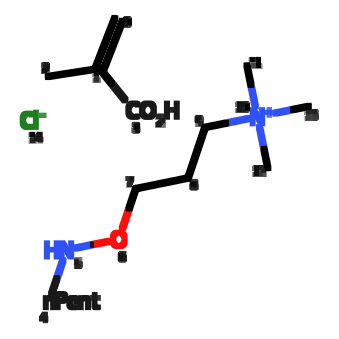 C=C(C)C(=O)O.CCCCCNOCCC[N+](C)(C)C.[Cl-]